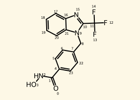 O=C(NO)c1ccc(Cn2c(C(F)(F)F)nc3ccccc32)cc1